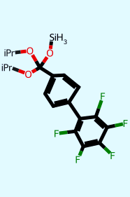 CC(C)OC(O[SiH3])(OC(C)C)c1ccc(-c2c(F)c(F)c(F)c(F)c2F)cc1